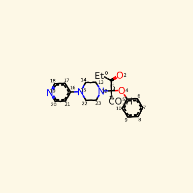 CCC(=O)C(Oc1ccccc1)(C(=O)O)N1CCN(c2ccncc2)CC1